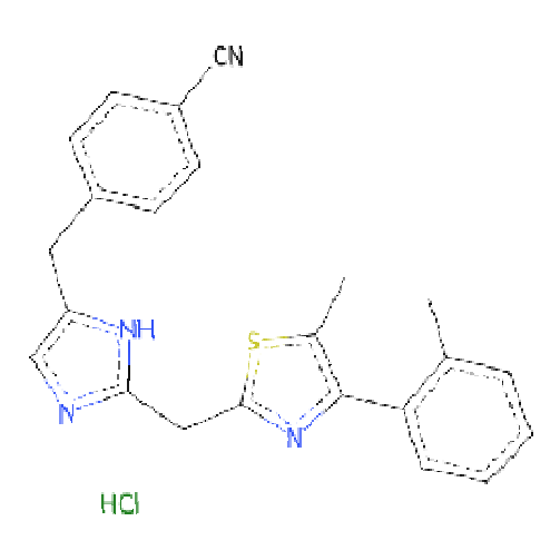 Cc1ccccc1-c1nc(Cc2ncc(Cc3ccc(C#N)cc3)[nH]2)sc1C.Cl